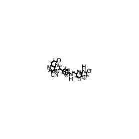 N#Cc1cnc2ccc(=O)n(CC(O)C34CCC(NCc5ccc6c(n5)NC(=O)CO6)(CC3)CO4)c2c1